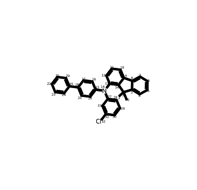 CC1(C)c2ccccc2-c2cccc(N(c3ccc(-c4ccccc4)cc3)c3cccc(Cl)c3)c21